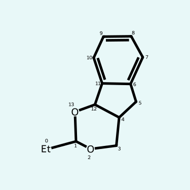 CCC1OCC2Cc3ccccc3C2O1